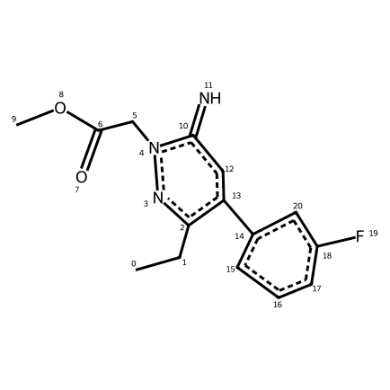 CCc1nn(CC(=O)OC)c(=N)cc1-c1cccc(F)c1